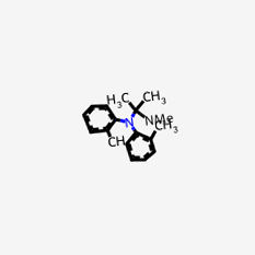 CNC(C)(C)N(c1ccccc1C)c1ccccc1C